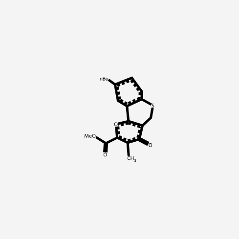 CCCCc1ccc2c(c1)-c1oc(C(=O)OC)c(C)c(=O)c1CS2